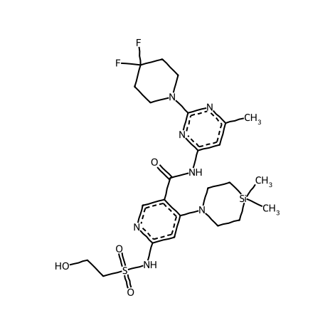 Cc1cc(NC(=O)c2cnc(NS(=O)(=O)CCO)cc2N2CC[Si](C)(C)CC2)nc(N2CCC(F)(F)CC2)n1